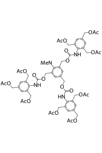 CNc1c(COC(=O)Nc2c(COC(C)=O)cc(COC(C)=O)cc2COC(C)=O)cc(COC(=O)Nc2c(COC(C)=O)cc(COC(C)=O)cc2COC(C)=O)cc1COC(=O)Nc1c(COC(C)=O)cc(COC(C)=O)cc1COC(C)=O